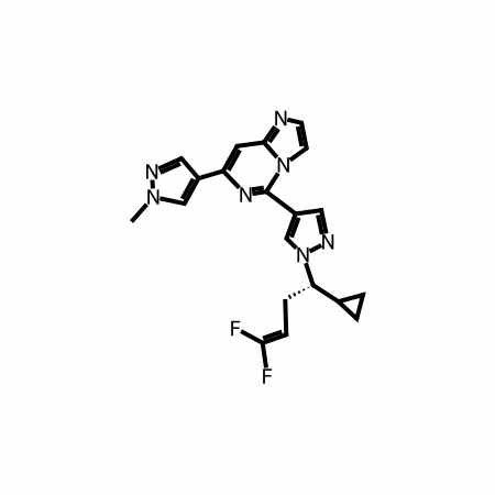 Cn1cc(-c2cc3nccn3c(-c3cnn([C@@H](CC=C(F)F)C4CC4)c3)n2)cn1